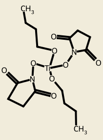 CCCC[O][Ti]([O]CCCC)([O]N1C(=O)CCC1=O)[O]N1C(=O)CCC1=O